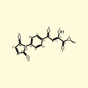 COC(=O)/C(O)=C/C(=O)c1ccc(N2C(=O)C=CC2=O)cc1